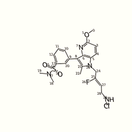 COc1ccc2c(n1)c(-c1cccc(S(=O)(=O)N(C)C)c1)c(C)n2C/C(F)=C/CNCl